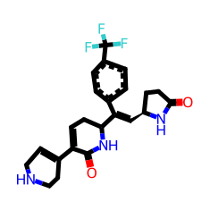 O=C1CC[C@H](/C=C(\c2ccc(C(F)(F)F)cc2)C2CC=C(C3=CCNCC3)C(=O)N2)N1